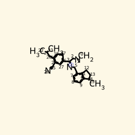 C=NC/C(=N\Cc1cccc2c1CCC2C)c1ccc(CC(C)C)c(C#N)c1